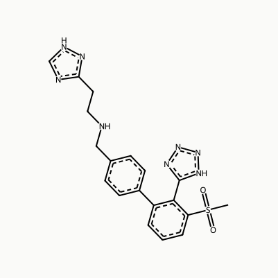 CS(=O)(=O)c1cccc(-c2ccc(CNCCc3nc[nH]n3)cc2)c1-c1nnn[nH]1